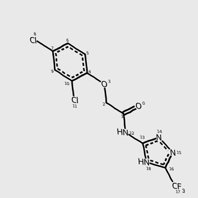 O=C(COc1ccc(Cl)cc1Cl)Nc1nnc(C(F)(F)F)[nH]1